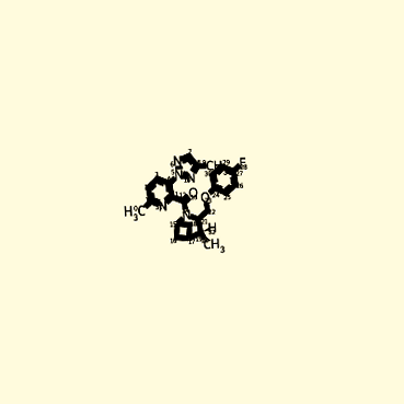 Cc1ccc(-n2ncc(C)n2)c(C(=O)N2C3CC(C3)[C@H](C)C2COc2ccc(F)cc2)n1